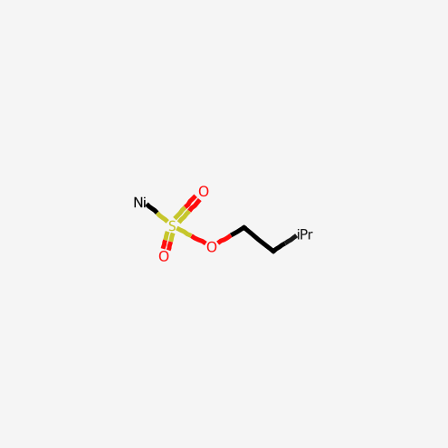 CC(C)CCO[S](=O)(=O)[Ni]